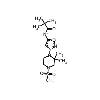 CC(C)(C)C(=O)[N-]c1c[n+](N2CCN(S(C)(=O)=O)CC2(C)C)no1